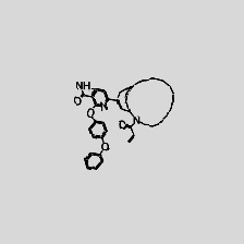 C=CC(=O)N1CCCCCCCCCCC2CCC1C=C(c1ccc(C(N)=O)c(Oc3ccc(Oc4ccccc4)cc3)n1)C2